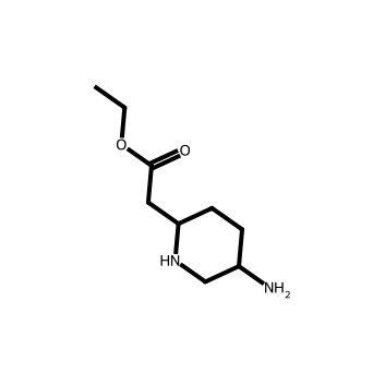 CCOC(=O)CC1CCC(N)CN1